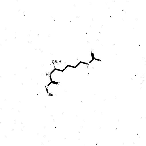 CC(=S)NCCCC[C@H](NC(=O)OC(C)(C)C)C(=O)O